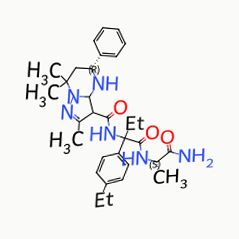 CCc1ccc(C(CC)(NC(=O)C2C(C)=NN3C2N[C@@H](c2ccccc2)CC3(C)C)C(=O)N[C@@H](C)C(N)=O)cc1